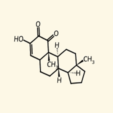 C[C@@]12CCC[C@H]1[C@@H]1CCC3C=C(O)C(=O)C(=O)[C@]3(C)[C@H]1CC2